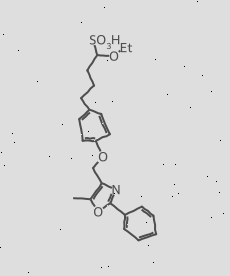 CCOC(CCCc1ccc(OCc2nc(-c3ccccc3)oc2C)cc1)S(=O)(=O)O